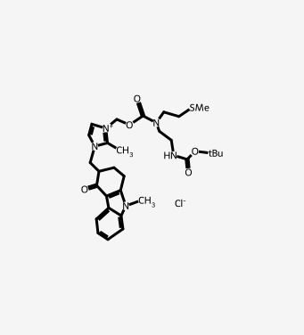 CSCCN(CCNC(=O)OC(C)(C)C)C(=O)OC[n+]1ccn(CC2CCc3c(c4ccccc4n3C)C2=O)c1C.[Cl-]